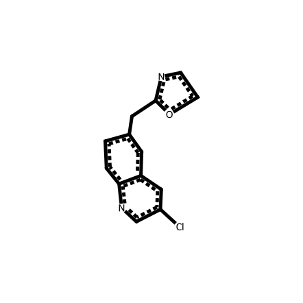 Clc1cnc2ccc(Cc3ncco3)cc2c1